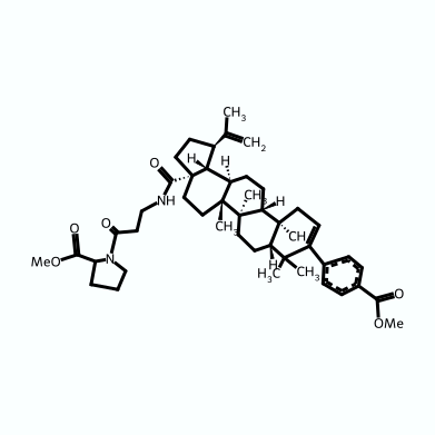 C=C(C)[C@@H]1CC[C@]2(C(=O)NCCC(=O)N3CCCC3C(=O)OC)CC[C@]3(C)[C@H](CC[C@@H]4[C@@]5(C)CC=C(c6ccc(C(=O)OC)cc6)C(C)(C)[C@@H]5CC[C@]43C)[C@@H]12